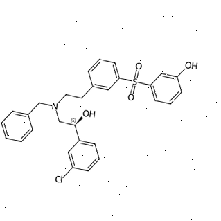 O=S(=O)(c1cccc(O)c1)c1cccc(CCN(Cc2ccccc2)C[C@@H](O)c2cccc(Cl)c2)c1